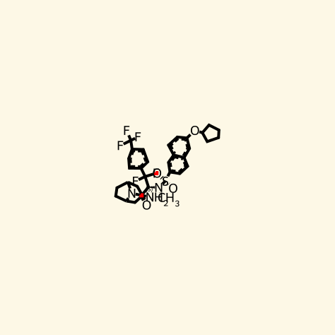 CN([C@@H](C(=O)N1C2CCC1CC(N)C2)C(F)(F)c1ccc(C(F)(F)F)cc1)S(=O)(=O)c1ccc2cc(OC3CCCC3)ccc2c1